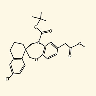 COC(=O)Cc1ccc2c(c1)N(C(=O)OC(C)(C)C)C[C@@]1(CCCc3cc(Cl)ccc31)CO2